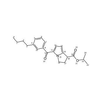 CCCCc1cccc(C(=O)c2ccc3n2CCC3C(=O)OC(C)C)c1